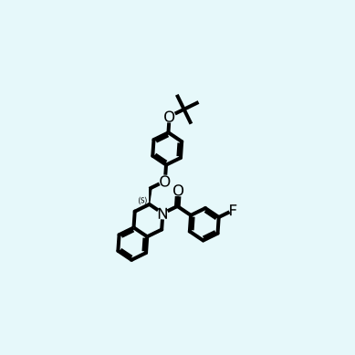 CC(C)(C)Oc1ccc(OC[C@@H]2Cc3ccccc3CN2C(=O)c2cccc(F)c2)cc1